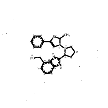 CC1SC(c2ccccc2)=[C]N1N1CCCC1c1nc2c(CO)cccc2[nH]1